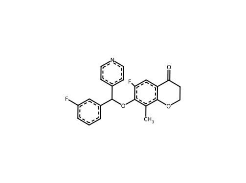 Cc1c(OC(c2ccncc2)c2cccc(F)c2)c(F)cc2c1OCCC2=O